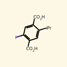 CC(C)c1cc(C(=O)O)c(I)cc1C(=O)O